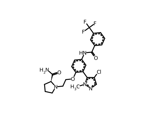 Cn1ncc(Cl)c1-c1cc(NC(=O)c2cccc(C(F)(F)F)c2)ccc1OCCN1CCC[C@H]1C(N)=O